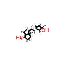 C[C@H](C[C@@H]1C=C[C@](C)(O)C1)[C@H]1CCC2C(O)CCC[C@]21C